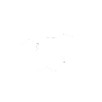 C/C=C/C(=O)O.C=CC(=O)OCCCO